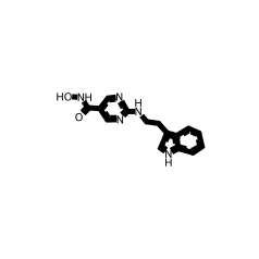 O=C(NO)c1cnc(NCCc2c[nH]c3ccccc23)nc1